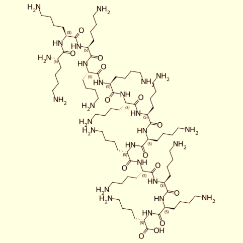 NCCCC[C@H](NC(=O)[C@H](CCCCN)NC(=O)[C@H](CCCCN)NC(=O)[C@H](CCCCN)NC(=O)[C@H](CCCCN)NC(=O)[C@H](CCCCN)NC(=O)[C@H](CCCCN)NC(=O)[C@H](CCCCN)NC(=O)[C@H](CCCCN)NC(=O)[C@H](CCCCN)NC(=O)[C@H](CCCCN)NC(=O)[C@H](CCCCN)NC(=O)[C@@H](N)CCCCN)C(=O)O